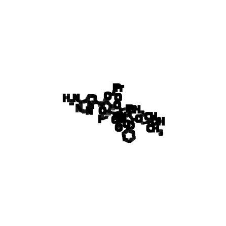 CC(C)C(=O)O[C@H]1[C@H](c2ccc3c(N)ncnn23)O[C@](CF)(CO[P@@](=O)(N[C@@H](C)C(=O)OCC(C)(C)O)Oc2ccccc2)[C@H]1OC(=O)C(C)C